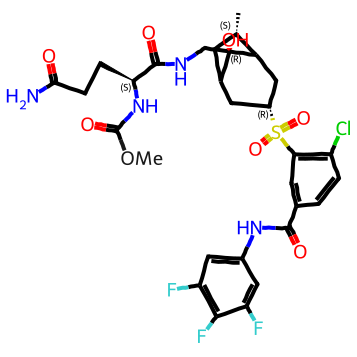 COC(=O)N[C@@H](CCC(N)=O)C(=O)NC[C@@]1(O)C2C[C@@H](S(=O)(=O)c3cc(C(=O)Nc4cc(F)c(F)c(F)c4)ccc3Cl)CC1[C@@H](C)C2